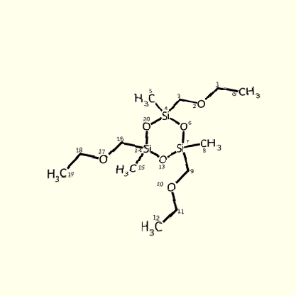 CCOC[Si]1(C)O[Si](C)(COCC)O[Si](C)(COCC)O1